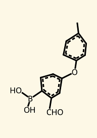 Cc1ccc(Oc2ccc(B(O)O)c(C=O)c2)cc1